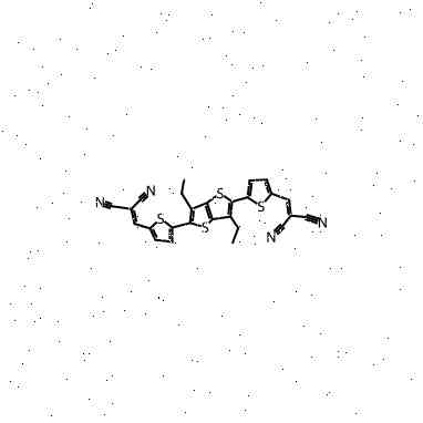 CCc1c(-c2ccc(C=C(C#N)C#N)s2)sc2c(CC)c(-c3ccc(C=C(C#N)C#N)s3)sc12